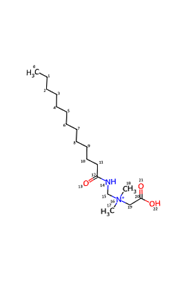 CCCCCCCCCCCCC(=O)NC[N+](C)(C)CC(=O)O